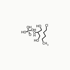 CCCCCCl.O=P(O)(O)O.OCC(O)CO